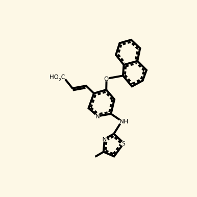 Cc1csc(Nc2cc(Oc3cccc4ccccc34)c(/C=C/C(=O)O)cn2)n1